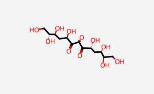 O=C(C(=O)[C@H](O)C[C@H](O)[C@H](O)CO)C(=O)[C@H](O)C[C@H](O)[C@H](O)CO